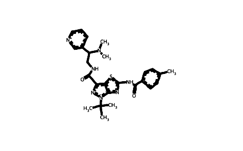 Cc1ccc(C(=O)Nc2nc3c(s2)c(C(=O)NCC(c2cccnc2)N(C)C)nn3C(C)(C)C)cc1